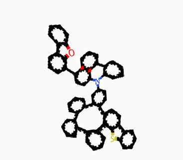 c1ccc(-c2ccccc2N(c2ccc(-c3cccc4c3oc3ccccc34)cc2)c2ccc3c(c2)c2ccccc2c2ccccc2c2ccccc2c2c3ccc3c4ccccc4sc32)cc1